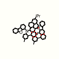 Cc1ccc(N(c2cc(N(c3ccc(C)cc3-c3ccccc3)c3cccc4c3oc3ccccc34)c3ccc4cc(C(C)C)cc5ccc2c3c54)c2cccc3c2oc2ccccc23)c(-c2ccccc2)c1